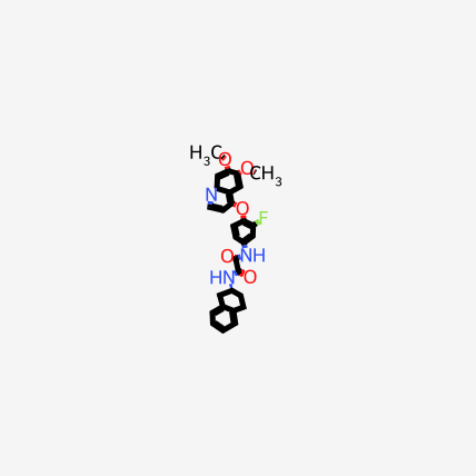 COc1cc2nccc(Oc3ccc(NC(=O)C(=O)N[C@H]4CCc5ccccc5C4)cc3F)c2cc1OC